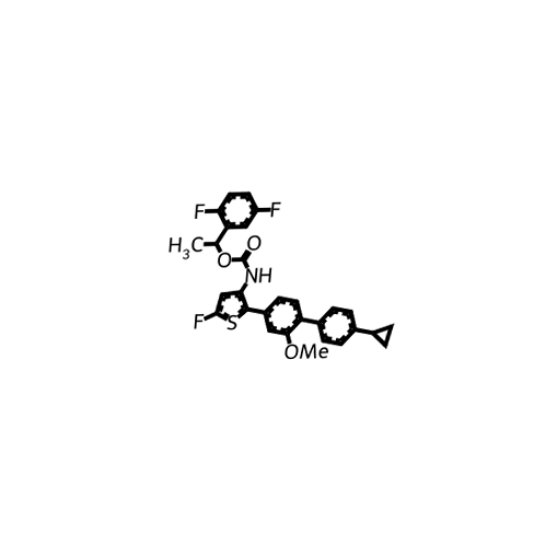 COc1cc(-c2sc(F)cc2NC(=O)OC(C)c2cc(F)ccc2F)ccc1-c1ccc(C2CC2)cc1